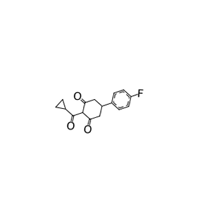 O=C1CC(c2ccc(F)cc2)CC(=O)C1C(=O)C1CC1